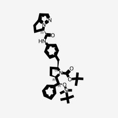 CC(C)(C)OC(=O)N1[C@H](Cc2ccc(NC(=O)[C@@H]3CCc4ccnn43)cc2)CC[C@@H]1[C@H](O[Si](C)(C)C(C)(C)C)c1ccccc1